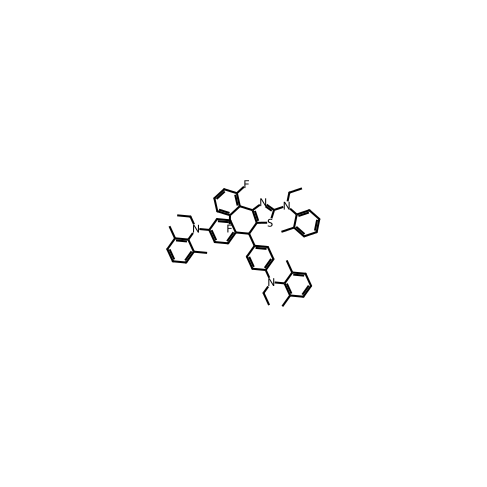 CCN(c1nc(-c2c(F)cccc2F)c(C(c2ccc(N(CC)c3c(C)cccc3C)cc2)c2ccc(N(CC)c3c(C)cccc3C)cc2)s1)c1ccccc1C